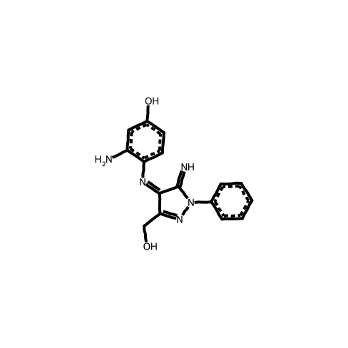 N=C1C(=Nc2ccc(O)cc2N)C(CO)=NN1c1ccccc1